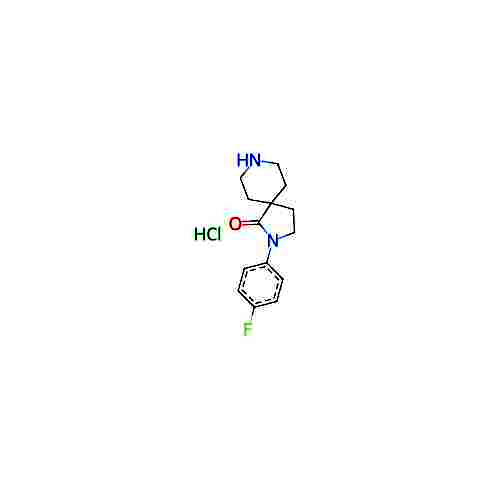 Cl.O=C1N(c2ccc(F)cc2)CCC12CCNCC2